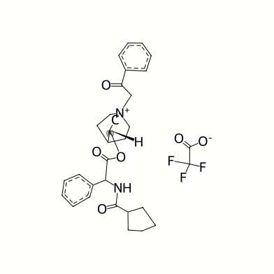 O=C(C[N+]12CCC(CC1)[C@@H](OC(=O)C(NC(=O)C1CCCC1)c1ccccc1)C2)c1ccccc1.O=C([O-])C(F)(F)F